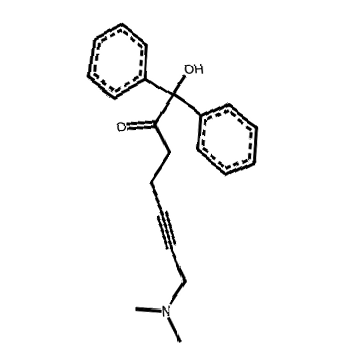 CN(C)CC#CCCC(=O)C(O)(c1ccccc1)c1ccccc1